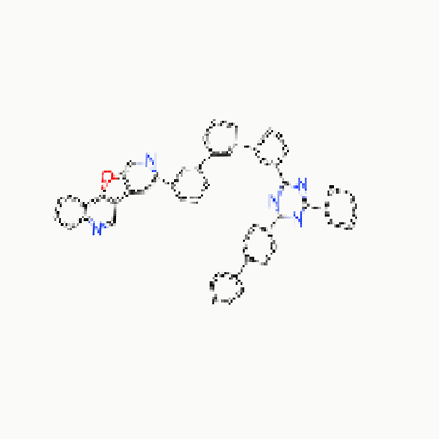 c1ccc(-c2ccc(-c3nc(-c4ccccc4)nc(-c4cccc(-c5cccc(-c6cccc(-c7cc8c(cn7)oc7c9ccccc9ncc87)c6)c5)c4)n3)cc2)cc1